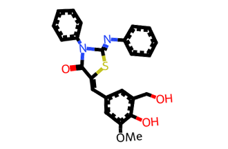 COc1cc(/C=C2\S/C(=N\c3ccccc3)N(c3ccccc3)C2=O)cc(CO)c1O